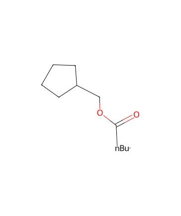 CCC[CH]C(=O)OCC1CCCC1